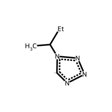 CCC(C)n1[c]nnn1